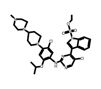 CCOS(=O)(=O)n1cc(-c2nc(Nc3cc(Cl)c(N4CCC(N5CCN(C)CC5)CC4)cc3OC(C)C)ncc2Cl)c2ccccc21